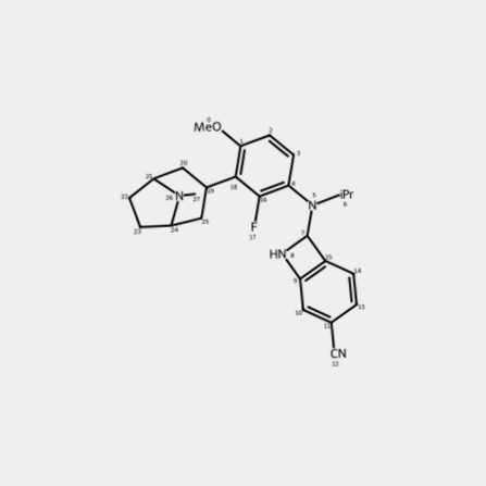 COc1ccc(N(C(C)C)C2Nc3cc(C#N)ccc32)c(F)c1C1CC2CCC(C1)N2C